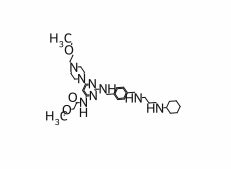 CCOCCN1CCN(c2cc(NC(=O)COC)nc(NCc3ccc(CNCCCNC4CCCCC4)cc3)n2)CC1